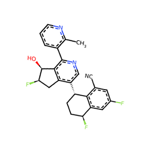 Cc1ncccc1-c1ncc([C@H]2CC[C@H](F)c3cc(F)cc(C#N)c32)c2c1[C@H](O)[C@H](F)C2